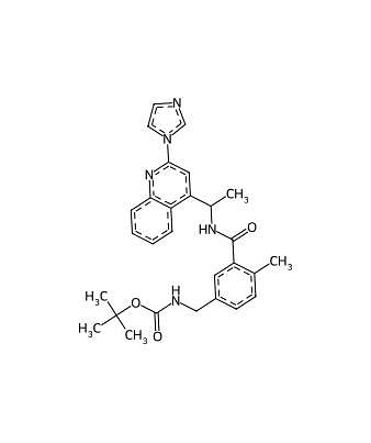 Cc1ccc(CNC(=O)OC(C)(C)C)cc1C(=O)NC(C)c1cc(-n2ccnc2)nc2ccccc12